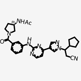 CC(=O)N[C@@H]1CCN(C(=O)c2cccc(Nc3nccc(-c4cnn(C(CC#N)C5CCCC5)c4)n3)c2)C1